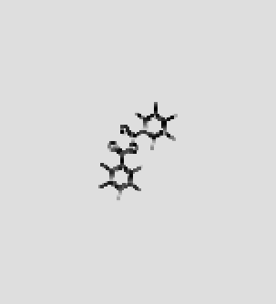 Cc1c(C)c(C)c(C(=O)OC(=O)c2c(C)c(C)c(C)c(C)c2C)c(C)c1C